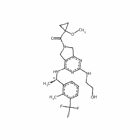 COC1(C(=O)N2Cc3nc(NCCO)nc(N[C@H](C)c4cccc(C(F)(F)F)c4C)c3C2)CC1